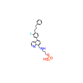 O=[PH](O)OCCCNCc1ccc(-c2ccc(CCCc3ccccc3)c(F)c2)c2cccnc12